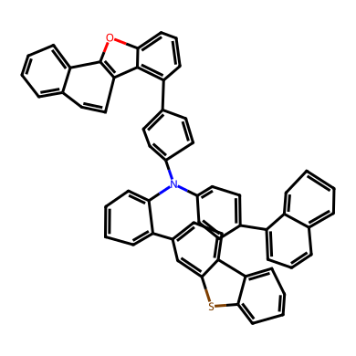 c1ccc(N(c2ccc(-c3cccc4ccccc34)cc2)c2ccc(-c3cccc4oc5c6ccccc6ccc5c34)cc2)c(-c2ccc3c(c2)sc2ccccc23)c1